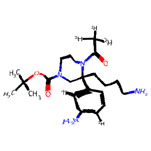 [2H]c1ccc(C2(CCCCN)CN(C(=O)OC(C)(C)C)CCN2C(=O)C([2H])([2H])[2H])c([2H])c1N